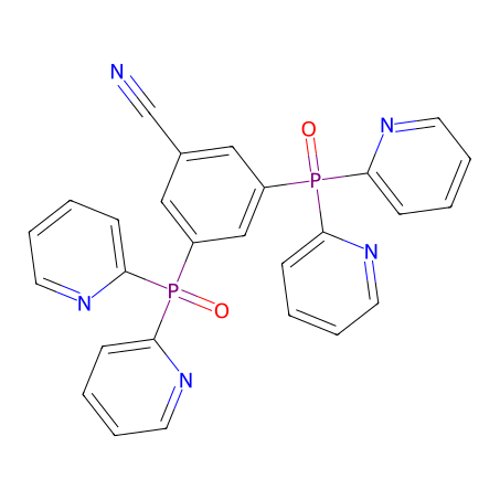 N#Cc1cc(P(=O)(c2ccccn2)c2ccccn2)cc(P(=O)(c2ccccn2)c2ccccn2)c1